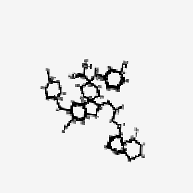 C[C@@H](COc1ccnc2c1[C@H](C)CCC2)CC1Cc2cc(F)c(CN3CCN(C)CC3)cc2C12CCC(Nc1cccc(Cl)c1)(C(=O)O)CC2